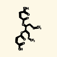 CSCC(OC(=O)/C=C\C(=O)O)C(CSC)OC(=O)/C=C\C(=O)O